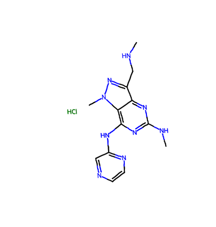 CNCc1nn(C)c2c(Nc3cnccn3)nc(NC)nc12.Cl